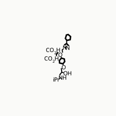 CC(C)NCC(O)COc1ccc(OCCn2cc(-c3ccccc3)cn2)cc1.O=C(O)C=CC(=O)O